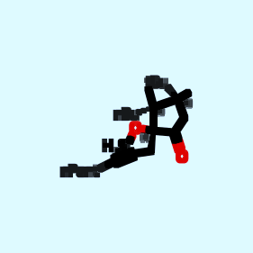 CCCCCC#CC[C@]1(O[SiH3])C(=O)C[C@](C)(C(C)(C)C)[C@@]1(C)CCCC